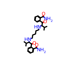 CC(C)C(NCCCCCNC(C(=O)c1ccccc1C(N)=O)C(C)C)C(=O)c1ccccc1C(N)=O